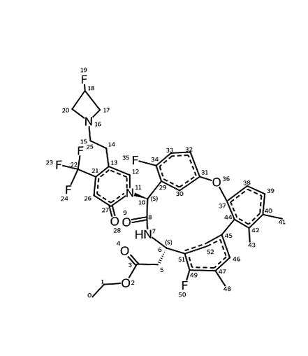 CCOC(=O)C[C@@H]1NC(=O)[C@@H](n2cc(CCN3CC(F)C3)c(C(F)(F)F)cc2=O)c2cc(ccc2F)Oc2ccc(C)c(C)c2-c2cc(C)c(F)c1c2